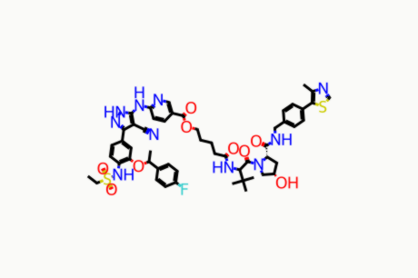 CCS(=O)(=O)Nc1ccc(-c2n[nH]c(Nc3ccc(C(=O)OCCCCC(=O)NC(C(=O)N4C[C@H](O)C[C@H]4C(=O)NCc4ccc(-c5scnc5C)cc4)C(C)(C)C)cn3)c2C#N)cc1OC(C)c1ccc(F)cc1